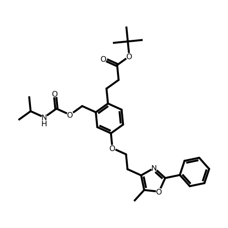 Cc1oc(-c2ccccc2)nc1CCOc1ccc(CCC(=O)OC(C)(C)C)c(COC(=O)NC(C)C)c1